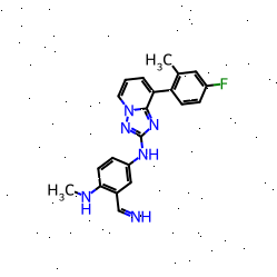 CNc1ccc(Nc2nc3c(-c4ccc(F)cc4C)cccn3n2)cc1C=N